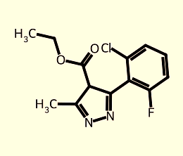 CCOC(=O)C1C(C)=NN=C1c1c(F)cccc1Cl